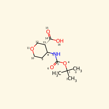 CC(C)(C)OC(=O)NC1CCOC[C@@H]1C(=O)O